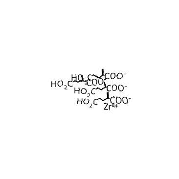 C=C(CCC(=O)O)C(=O)[O-].C=C(CCC(=O)O)C(=O)[O-].C=C(CCC(=O)O)C(=O)[O-].C=C(CCC(=O)O)C(=O)[O-].[Zr+4]